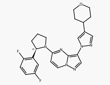 Fc1ccc(F)c([C@H]2CCCN2c2ccn3ncc(-n4cc(C5CCOCC5)cn4)c3n2)c1